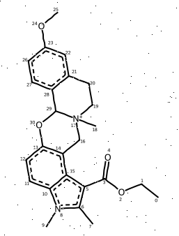 CCOC(=O)c1c(C)n(C)c2ccc3c(c12)C[N+]1(C)CCc2cc(OC)ccc2C1O3